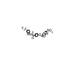 C[C@]1(COc2ccc(NC(=S)Nc3ccc(C(F)(F)F)cc3)cc2)Cn2cc([N+](=O)[O-])nc2O1